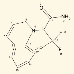 NC(=O)C(N1CC=Cc2ccccc21)C(F)(F)F